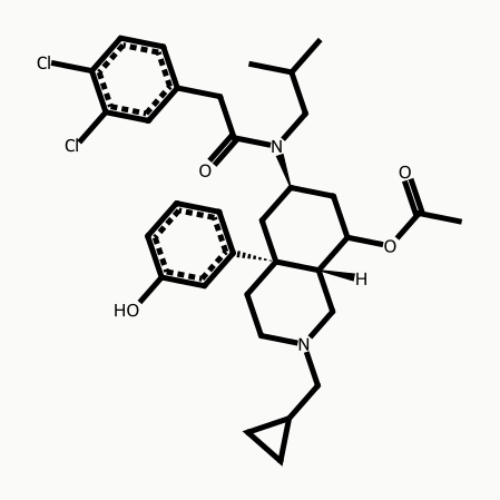 CC(=O)OC1C[C@H](N(CC(C)C)C(=O)Cc2ccc(Cl)c(Cl)c2)C[C@]2(c3cccc(O)c3)CCN(CC3CC3)C[C@@H]12